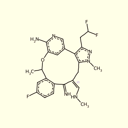 CN/C=C1/Cc2c(c(CC(F)F)nn2C)-c2cnc(N)c(c2)OC(C)c2cc(F)ccc2C1=N